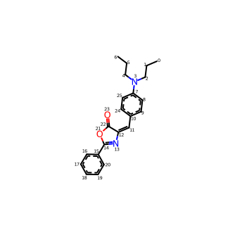 CCCN(CCC)c1ccc(/C=C2/N=C(c3ccccc3)OC2=O)cc1